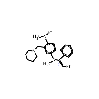 CC/C=C(\c1ccccc1)N(C)c1ccc(N(C)CC)c(CN2CCCCC2)c1